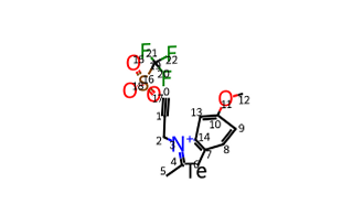 C#CC[n+]1c(C)[te]c2ccc(OC)cc21.O=S(=O)([O-])C(F)(F)F